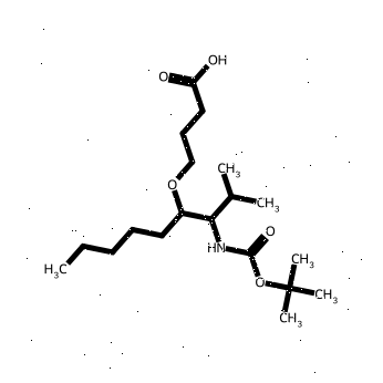 CCCCCC(OCCCC(=O)O)C(NC(=O)OC(C)(C)C)C(C)C